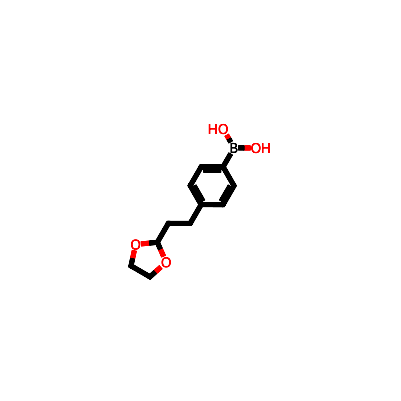 OB(O)c1ccc(CCC2OCCO2)cc1